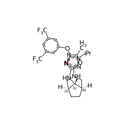 Cc1nnc(N2C[C@H]3CC[C@@H](C2)[C@@H]3Nc2nc(Oc3cc(C(F)(F)F)cc(C(F)(F)F)c3)n(C(C)C)n2)o1